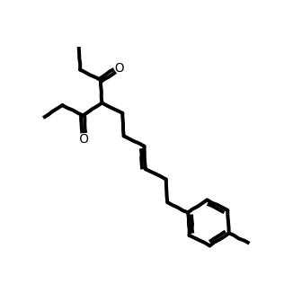 CCC(=O)C(CCC=CCCc1ccc(C)cc1)C(=O)CC